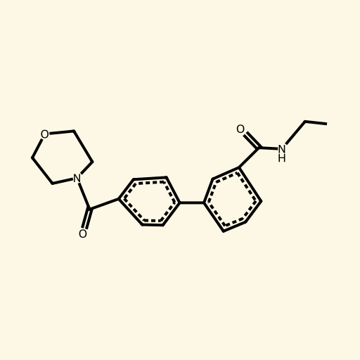 CCNC(=O)c1cccc(-c2ccc(C(=O)N3CCOCC3)cc2)c1